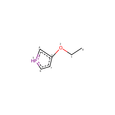 CCOc1[c][pH]cc1